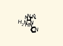 CN(C)C1=NN=C(N)/C1=N\Nc1cccnc1